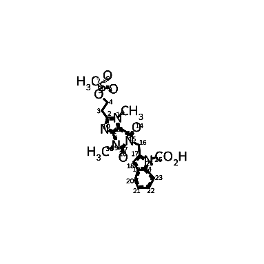 Cn1c(CCOS(C)(=O)=O)nc2c1c(=O)n(Cc1cc3ccccc3n1C(=O)O)c(=O)n2C